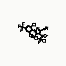 N#Cc1nn(-c2c(Cl)cc(C(F)(F)F)cc2Cl)c(Br)c1[S+]([O-])C(F)(Cl)Cl